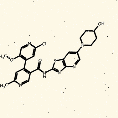 COc1cnc(Cl)cc1-c1cc(C)ncc1C(=O)Nc1nc2ncc(N3CCC(O)CC3)cc2s1